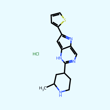 CC1CC(c2ncc3nc(-c4cccs4)cc-3[nH]2)CCN1.Cl